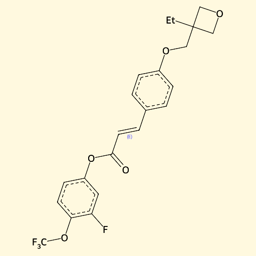 CCC1(COc2ccc(/C=C/C(=O)Oc3ccc(OC(F)(F)F)c(F)c3)cc2)COC1